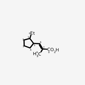 CCC1CCCC1C=C(C)C(=O)O